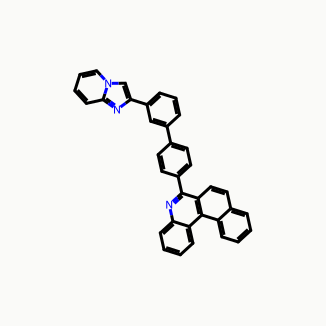 c1cc(-c2ccc(-c3nc4ccccc4c4c3ccc3ccccc34)cc2)cc(-c2cn3ccccc3n2)c1